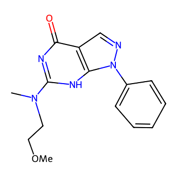 COCCN(C)c1nc(=O)c2cnn(-c3ccccc3)c2[nH]1